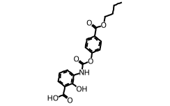 CCCCOC(=O)c1ccc(OC(=O)Nc2cccc(C(=O)O)c2O)cc1